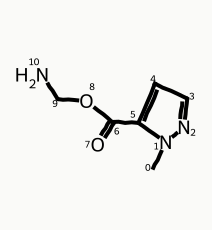 Cn1nccc1C(=O)OCN